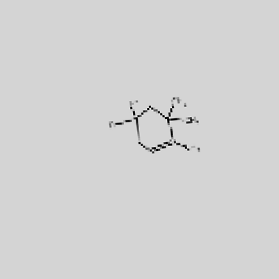 CC1=CCC(C(C)C)(C(C)C)CC1(C)C